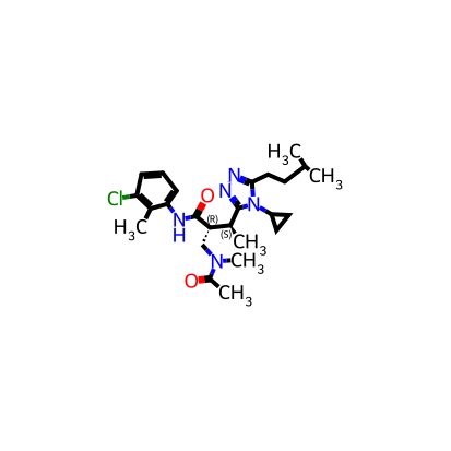 CC(=O)N(C)C[C@H](C(=O)Nc1cccc(Cl)c1C)[C@H](C)c1nnc(CCC(C)C)n1C1CC1